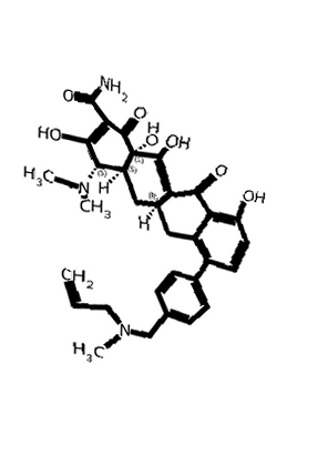 C=CCN(C)Cc1ccc(-c2ccc(O)c3c2C[C@H]2C[C@H]4[C@H](N(C)C)C(O)=C(C(N)=O)C(=O)[C@@]4(O)C(O)=C2C3=O)cc1